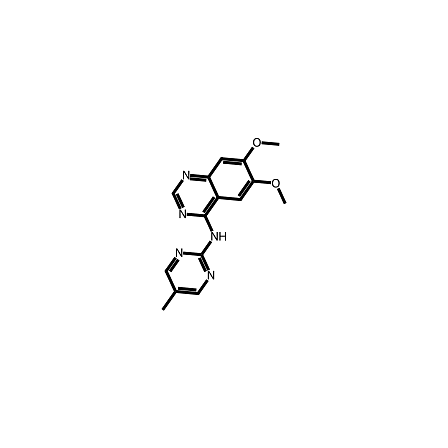 COc1cc2ncnc(Nc3ncc(C)cn3)c2cc1OC